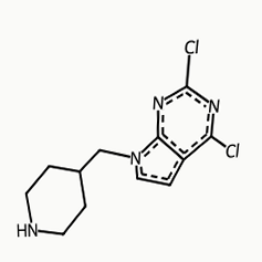 Clc1nc(Cl)c2ccn(CC3CCNCC3)c2n1